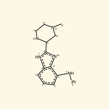 CC(C)Nc1cccc2[nH]c(C3CN(C)CC[N]3)nc12